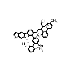 C=CC1C(CCc2ccc3c(oc4cc5sccc5cc43)c2-c2cc(-c3c(C)cccc3C)c(C(C)(C)C)c[n+]2C)c2ccccc2-c2ccc(C)c[n+]21